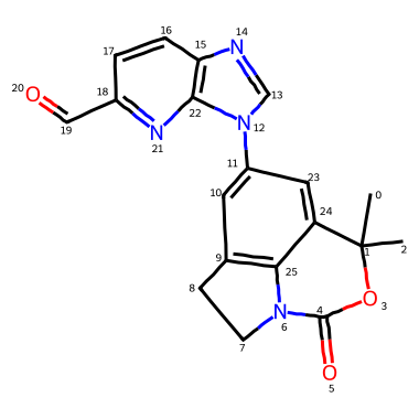 CC1(C)OC(=O)N2CCc3cc(-n4cnc5ccc(C=O)nc54)cc1c32